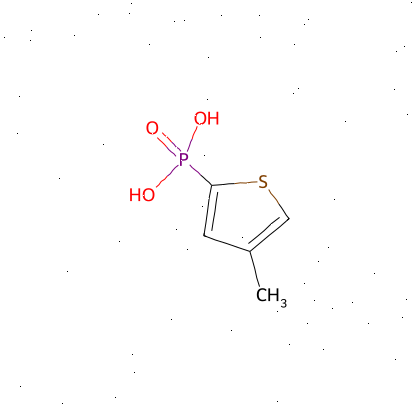 Cc1csc(P(=O)(O)O)c1